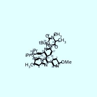 COc1ccc(-c2nc3cc(C)ccn3c2-c2ccc(NC(=O)C(C)N(C)C(=O)OC(C)(C)C)nc2C#CS(C(C)C)(C(C)C)C(C)C)cn1